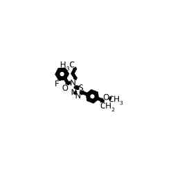 C=C(OC)c1ccc(-c2nnc(N(CCCC)C(=O)c3ccccc3F)s2)cc1